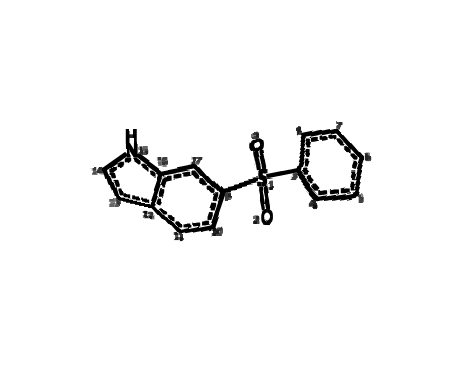 O=S(=O)(c1ccccc1)c1ccc2cc[nH]c2c1